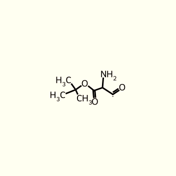 CC(C)(C)OC(=O)C(N)[C]=O